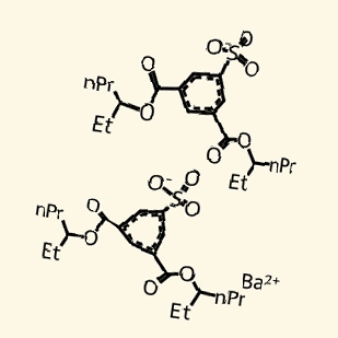 CCCC(CC)OC(=O)c1cc(C(=O)OC(CC)CCC)cc(S(=O)(=O)[O-])c1.CCCC(CC)OC(=O)c1cc(C(=O)OC(CC)CCC)cc(S(=O)(=O)[O-])c1.[Ba+2]